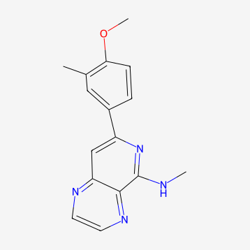 CNc1nc(-c2ccc(OC)c(C)c2)cc2nccnc12